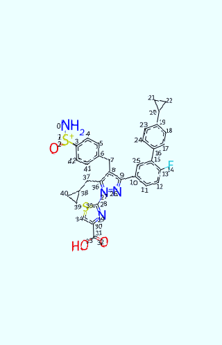 N[S+]([O-])c1ccc(Cc2c(-c3ccc(F)c(-c4ccc(C5CC5)cc4)c3)nn(-c3nc(C(=O)O)cs3)c2CC2CC2)cc1